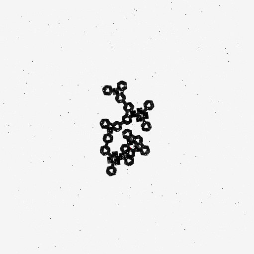 c1ccc(-c2nc(-c3ccccc3)nc(-n3c4ccc(-c5ccc6c(c5)c5ccccc5n6-c5ccccc5)cc4c4cc(-c5ccc6c(c5)c5ccccc5n6-c5ccc(-c6cccc(-c7nc(-c8ccccc8)nc(-n8c9ccccc9c9cc(-n%10c%11ccccc%11c%11ccc%12c%13ccccc%13n(-c%13ccccc%13)c%12c%11%10)ccc98)n7)c6)cc5)ccc43)n2)cc1